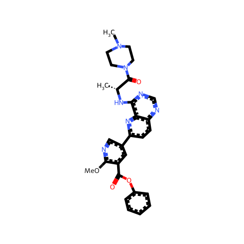 COc1ncc(-c2ccc3ncnc(N[C@H](C)C(=O)N4CCN(C)CC4)c3n2)cc1C(=O)Oc1ccccc1